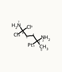 C[C](N)([Pt])CCC(N)(Cl)Cl